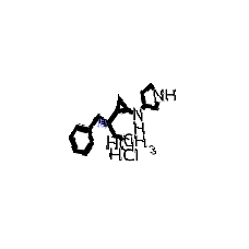 CC/C(=C\c1ccccc1)C1CC1NC1CCNC1.Cl.Cl